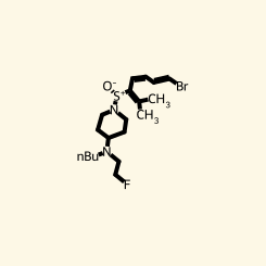 CCCCN(CCF)C1CCN([S+]([O-])C(/C=C\C=C\Br)=C(C)C)CC1